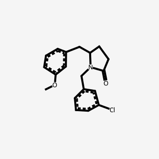 COc1cccc(CC2CCC(=O)N2Cc2cccc(Cl)c2)c1